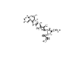 Cc1nc2ccccc2c(Cc2ccc(C(=O)NC3CN(C(=O)O)CC3C(=O)NO)cc2)c1C